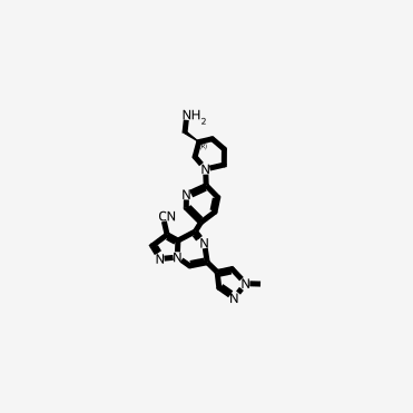 Cn1cc(-c2cn3ncc(C#N)c3c(-c3ccc(N4CCC[C@H](CN)C4)nc3)n2)cn1